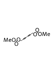 COC(=O)OCC#CC#CCOC(=O)OC